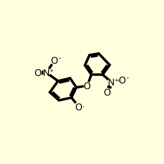 [O]c1ccc([N+](=O)[O-])cc1Oc1ccccc1[N+](=O)[O-]